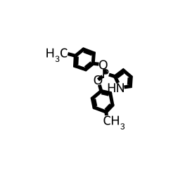 Cc1ccc(OP(Oc2ccc(C)cc2)c2ccc[nH]2)cc1